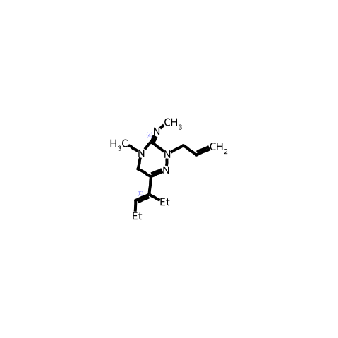 C=CCN1N=C(/C(=C/CC)CC)CN(C)/C1=N/C